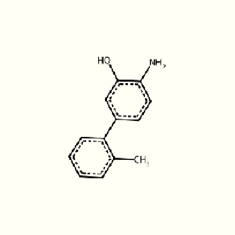 Cc1ccccc1-c1ccc(N)c(O)c1